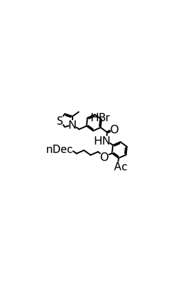 Br.CCCCCCCCCCCCCCOc1c(NC(=O)c2cccc(CN3CSC=C3C)c2)cccc1C(C)=O